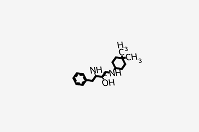 CC1(C)CCC(NC[C@@H](O)[C@@H](N)Cc2ccccc2)CC1